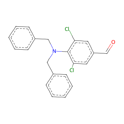 O=Cc1cc(Cl)c(N(Cc2ccccc2)Cc2ccccc2)c(Cl)c1